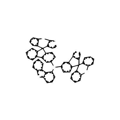 c1ccc2c(c1)Oc1ccccc1C21c2ccccc2-c2cc(N(c3ccc4c(c3)-c3ccccc3C43c4ccccc4Oc4ccccc43)c3cccc4sc5ccccc5c34)ccc21